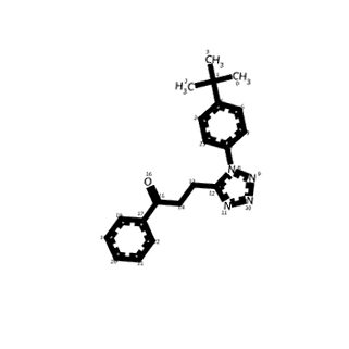 CC(C)(C)c1ccc(-n2nnnc2CCC(=O)c2ccccc2)cc1